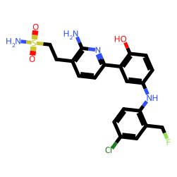 Nc1nc(-c2cc(Nc3ccc(Cl)cc3CF)ccc2O)ccc1CCS(N)(=O)=O